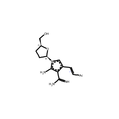 CC(=O)/C=C/c1cn([C@H]2CC[C@@H](CO)O2)c(N)c1C(=N)N